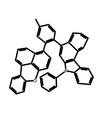 Cc1ccc(-c2cc3c(c4ccccc24)c2ccccc2n3-c2ccccc2)c(-c2ccc3c4c(cccc24)-c2ccccc2O3)c1